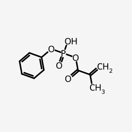 C=C(C)C(=O)OP(=O)(O)Oc1ccccc1